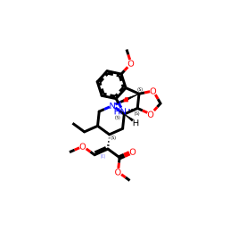 CCC1CN2CC[C@@]34OCO[C@@]3(Nc3cccc(OC)c34)[C@@H]2C[C@@H]1/C(=C\OC)C(=O)OC